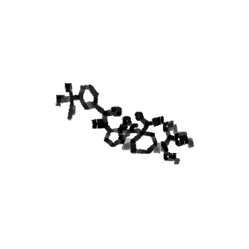 CC(C)N(C)[C@@H]1CC[C@H](N2CCC(NC(=O)c3cccc(C(F)(F)F)c3)C2=O)C(C)(C(=O)O)C1